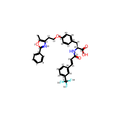 Cc1oc(-c2ccccc2)nc1CCOc1ccc(C[C@H](NC(=O)/C=C/c2cccc(C(F)(F)F)c2)C(=O)O)cc1